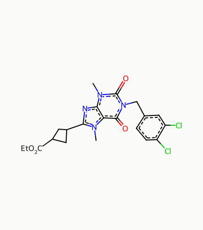 CCOC(=O)C1CC(c2nc3c(c(=O)n(Cc4ccc(Cl)c(Cl)c4)c(=O)n3C)n2C)C1